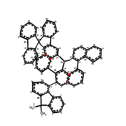 CC1(C)c2ccccc2-c2c(-c3cccc(N(c4ccc5c(c4)-c4ccccc4C54c5ccccc5-c5ccccc54)c4ccc5ccccc5c4-c4ccccc4)c3-c3ccccc3)cccc21